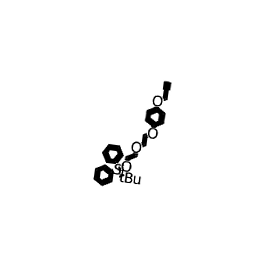 C#CCOc1ccc(OCCOCCO[Si](c2ccccc2)(c2ccccc2)C(C)(C)C)cc1